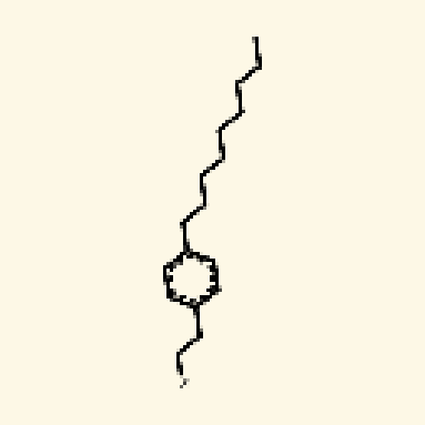 CCCCCCCCCc1ccc(CCBr)cc1